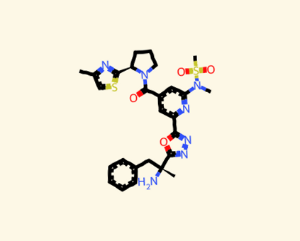 Cc1csc([C@H]2CCCN2C(=O)c2cc(-c3nnc([C@](C)(N)Cc4ccccc4)o3)nc(N(C)S(C)(=O)=O)c2)n1